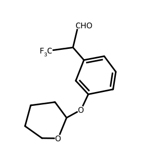 O=CC(c1cccc(OC2CCCCO2)c1)C(F)(F)F